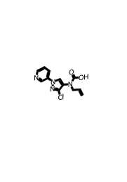 C=CCN(C(=O)O)c1cn(-c2cccnc2)nc1Cl